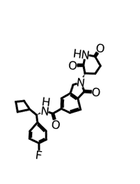 O=C1CC[C@H](N2Cc3cc(C(=O)N[C@H](c4ccc(F)cc4)C4CCC4)ccc3C2=O)C(=O)N1